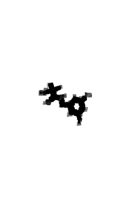 CCC(C)(C)C(=O)OCc1cc(F)cc(F)c1